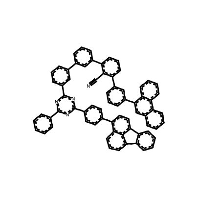 N#Cc1c(-c2cccc(-c3cccc(-c4nc(-c5ccccc5)nc(-c5ccc(-c6ccc7c8c(cccc68)-c6ccccc6-7)cc5)n4)c3)c2)cccc1-c1cccc(-c2cc3ccccc3c3ccccc23)c1